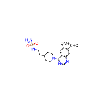 COc1cc2c(N3CCC(CCNS(N)(=O)=O)CC3)ncnc2cc1C=O